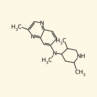 Cc1cnc2ccc(N(C)C3CC(C)NCC3C)cc2n1